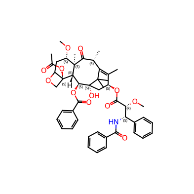 CO[C@H]1CC2OC[C@@]2(OC(C)=O)[C@H]2[C@H](OC(=O)c3ccccc3)[C@]3(O)C[C@H](OC(=O)[C@H](OC)[C@@H](NC(=O)c4ccccc4)c4ccccc4)C(C)=C([C@@H](C)C(=O)[C@]12C)C3(C)C